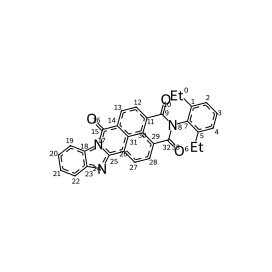 CCc1cccc(CC)c1N1C(=O)c2ccc3c(=O)n4c5ccccc5nc4c4ccc(c2c34)C1=O